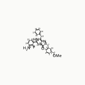 COCc1cccc(Cc2nc3c(Cc4ccccc4)[nH]c(-c4cccc(N)c4F)cn-3c2=O)c1